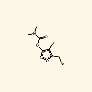 CN(C)C(=O)Oc1noc(CBr)c1Br